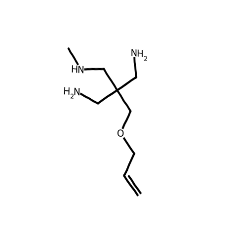 C=CCOCC(CN)(CN)CNC